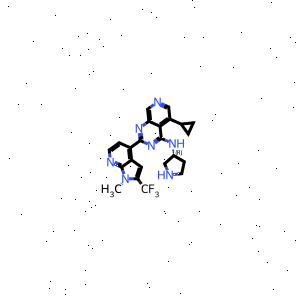 Cn1c(C(F)(F)F)cc2c(-c3nc(N[C@@H]4CCNC4)c4c(C5CC5)cncc4n3)ccnc21